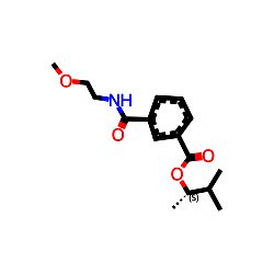 COCCNC(=O)c1cccc(C(=O)O[C@@H](C)C(C)C)c1